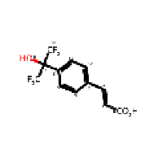 O=C(O)C=Cc1ccc(C(O)(C(F)(F)F)C(F)(F)F)cc1